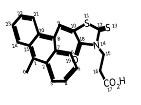 Cc1c2ccccc2c(/C=C2/SC(=S)N(CCC(=O)O)C2=O)c2ccccc12